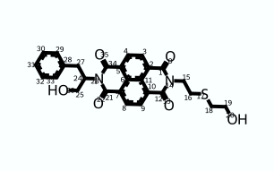 O=C1c2ccc3c4c(ccc(c24)C(=O)N1CCSCCO)C(=O)N(C(CO)Cc1ccccc1)C3=O